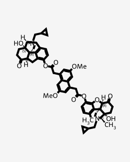 COc1cc(CC(=O)Oc2ccc(C)c3c2O[C@H]2C(=O)CC[C@@]4(O)[C@@H](C)N(CC5CC5)CC[C@]324)c2cc(OC)cc(CC(=O)Oc3ccc4c5c3C[C@H]3C(=O)CC[C@@]6(O)[C@@H](C4)N(CC4CC4)CC[C@]536)c2c1